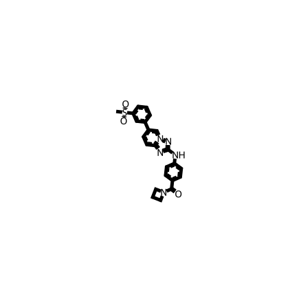 CS(=O)(=O)c1cccc(-c2ccc3nc(Nc4ccc(C(=O)N5CCC5)cc4)nn3c2)c1